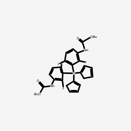 CC(C)COC(=O)Nc1ccc(F)[c]([Ti]([C]2=CC=CC2)([C]2=CC=CC2)[c]2c(F)ccc(NC(=O)OCC(C)C)c2F)c1F